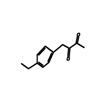 CCc1ccc(CC(=O)C(C)=O)cc1